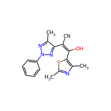 Cc1nc(C)c(/C(O)=C(/C#N)c2nn(-c3ccccc3)nc2C)s1